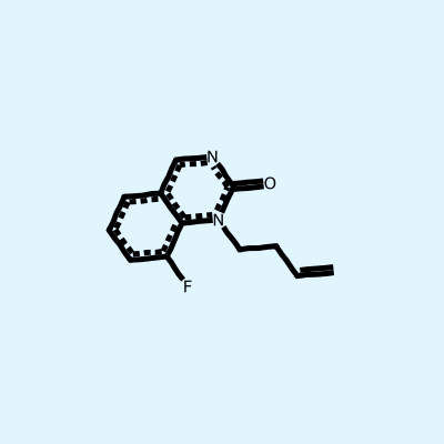 C=CCCn1c(=O)ncc2cccc(F)c21